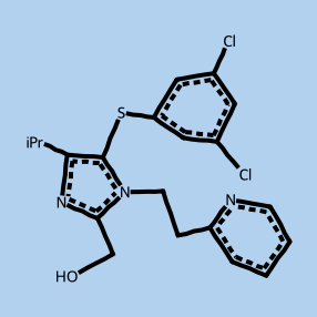 CC(C)c1nc(CO)n(CCc2ccccn2)c1Sc1cc(Cl)cc(Cl)c1